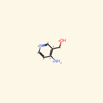 Nc1ccncc1CO